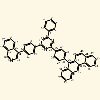 c1ccc(-c2nc(-c3ccc(-c4cncc5ccccc45)cc3)nc(-c3ccc(-c4c5ccccc5cc5c4ccc4ccccc45)cc3)n2)cc1